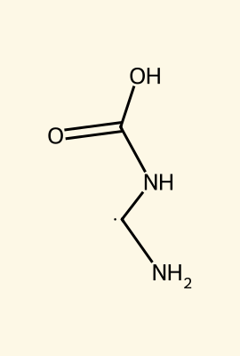 N[CH]NC(=O)O